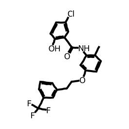 Cc1ccc(OCCc2cccc(C(F)(F)F)c2)cc1NC(=O)c1cc(Cl)ccc1O